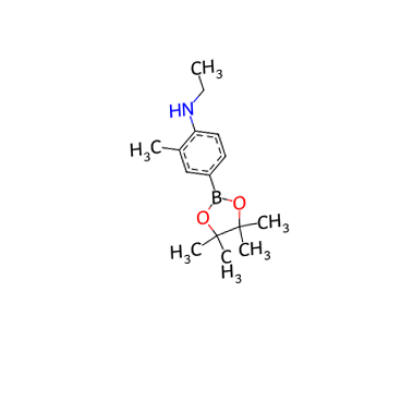 CCNc1ccc(B2OC(C)(C)C(C)(C)O2)cc1C